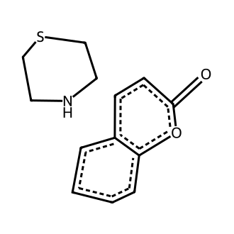 C1CSCCN1.O=c1ccc2ccccc2o1